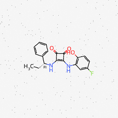 CC[C@@H](Nc1c(Nc2cc(F)ccc2O)c(=O)c1=O)c1ccccc1